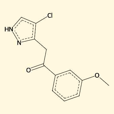 COc1cccc(C(=O)Cc2n[nH]cc2Cl)c1